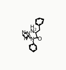 N[C@@H](Cc1ccccc1)C(=O)N(c1ccccc1)n1ncnn1